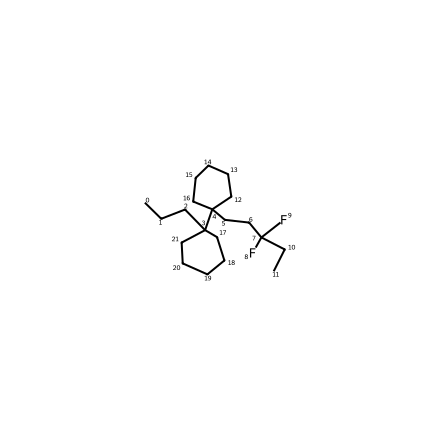 CCCC1(C2(CCC(F)(F)CC)CCCCC2)CCCCC1